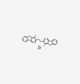 Cc1c(CCc2ccc3c(c2C)Cc2ccccc2-3)ccc2c1Cc1ccccc1-2.[Zr]